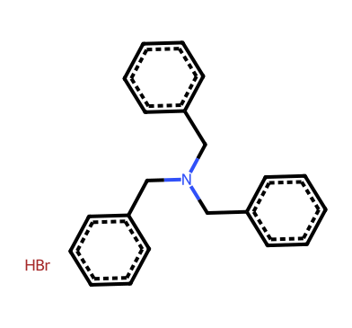 Br.c1ccc(CN(Cc2ccccc2)Cc2ccccc2)cc1